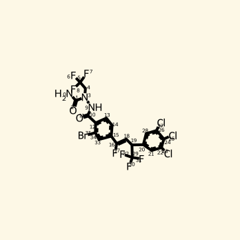 NC(=O)N(CC(F)(F)F)NC(=O)c1ccc(/C(F)=C/C(c2cc(Cl)c(Cl)c(Cl)c2)C(F)(F)F)cc1Br